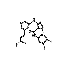 COC(=O)/C=C/c1cncc(Nc2snc(C)c2C(=O)Nc2ccc(F)c(F)c2)n1